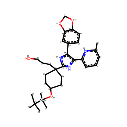 Cc1cccc(-c2[nH]c(C3(CCCO)CCC(O[Si](C)(C)C(C)(C)C)CC3)nc2-c2ccc3c(c2)OCO3)n1